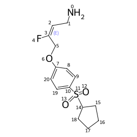 NC/C=C(/F)COc1ccc(S(=O)(=O)C2CCCC2)cc1